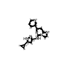 c1cncc(-c2cc3nccn3c(Nc3cc(C4CC4)[nH]n3)n2)c1